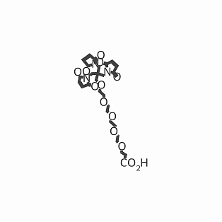 O=C(O)CCOCCOCCOCCOCCOCC(CN1C(=O)C=CC1=O)(CN1C(=O)C=CC1=O)CN1C(=O)C=CC1=O